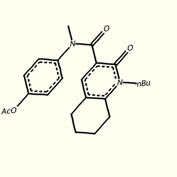 CCCCn1c2c(cc(C(=O)N(C)c3ccc(OC(C)=O)cc3)c1=O)CCCC2